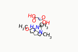 COc1ccc2c(c1)Cc1cc(C)n(C[C@H](C)N)c1-2.O=C(O)/C=C/C(=O)O